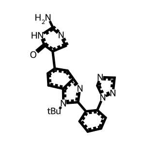 CC(C)(C)n1c(-c2ccccc2-n2cncn2)nc2cc(-c3cnc(N)[nH]c3=O)ccc21